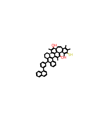 Cc1c(C)c2c(c(C)c1S)-c1c(O)c(C)c(-c3c4c(c(-c5cccc(-c6cccc7ccccc67)c5)c5ccccc35)CCCC4)c3c(C)c(C)c(O)c(c13)C=C2